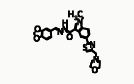 CCn1cc(C(=O)N/N=C/c2ccc3c(c2)OCO3)c2cc(-c3nc(CN4CCOCC4)cs3)ccc21